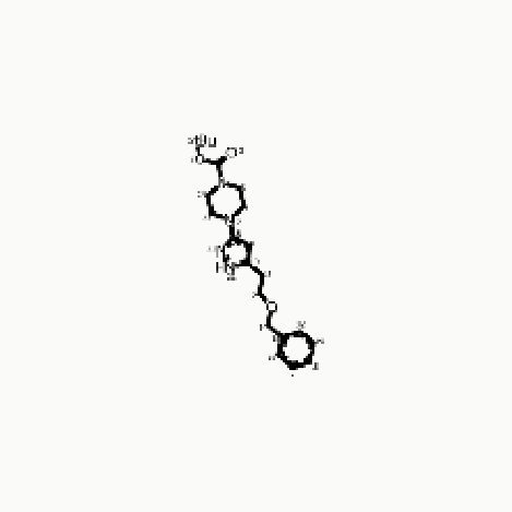 CC(C)(C)OC(=O)N1CCN(c2cc(CCOCc3ccccc3)[nH]n2)CC1